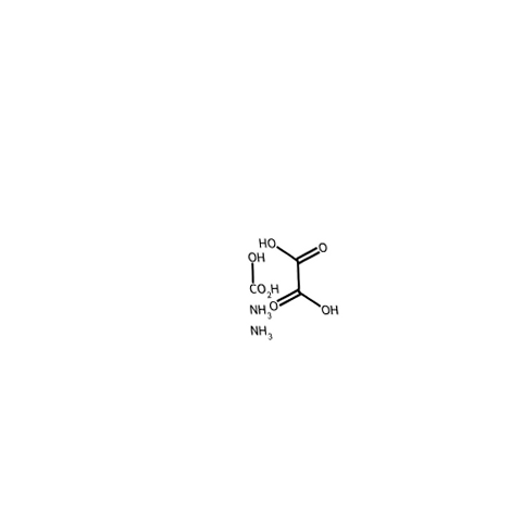 N.N.O=C(O)C(=O)O.O=C(O)O